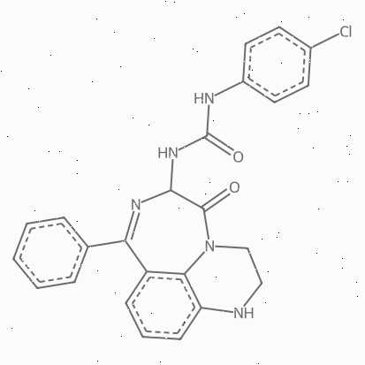 O=C(Nc1ccc(Cl)cc1)NC1N=C(c2ccccc2)c2cccc3c2N(CCN3)C1=O